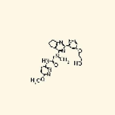 COc1ccc(NC(=O)CN(C)c2nc(-c3cc(OCCO)ccn3)nc3c2CCC3)nn1